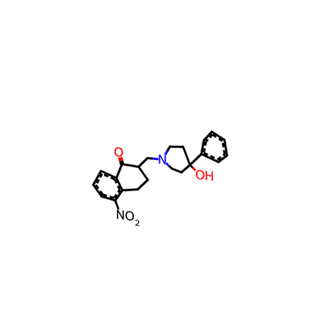 O=C1c2cccc([N+](=O)[O-])c2CCC1CN1CCC(O)(c2ccccc2)CC1